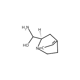 NC(O)[C@H]1CC2=CCN1CC2